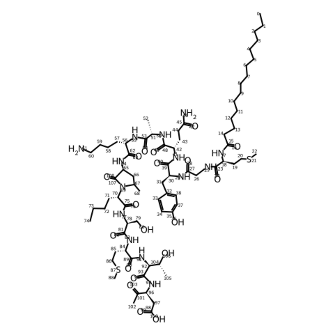 CCCCCCCCCCCCCCCC(=O)N[C@@H](CCSC)C(=O)NCC(=O)N[C@@H](Cc1ccc(O)cc1)C(=O)N[C@@H](CCC(N)=O)C(=O)N[C@@H](C)C(=O)N[C@@H](CCCCN)C(=O)N[C@H]1CC(C)N([C@@H](CCCC)C(=O)N[C@@H](CO)C(=O)N[C@@H](CCSC)C(=O)N[C@H](C(=O)N[C@@H](CC(=O)O)C(C)=O)[C@@H](C)O)C1=O